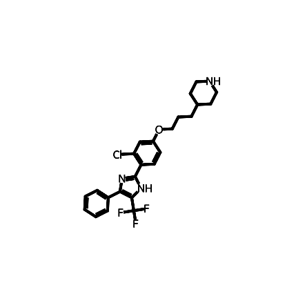 FC(F)(F)c1[nH]c(-c2ccc(OCCCC3CCNCC3)cc2Cl)nc1-c1ccccc1